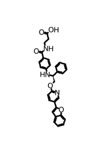 O=C(O)CCNC(=O)c1ccc(N[C@H](COc2ccc(-c3cc4ccccc4o3)cn2)c2ccccc2)cc1